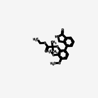 CCOC(=O)C(C)(C)Oc1c(-c2cccc3c2CNC3=O)ccc(OC)c1OC